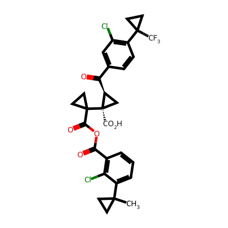 CC1(c2cccc(C(=O)OC(=O)C3([C@]4(C(=O)O)C[C@@H]4C(=O)c4ccc(C5(C(F)(F)F)CC5)c(Cl)c4)CC3)c2Cl)CC1